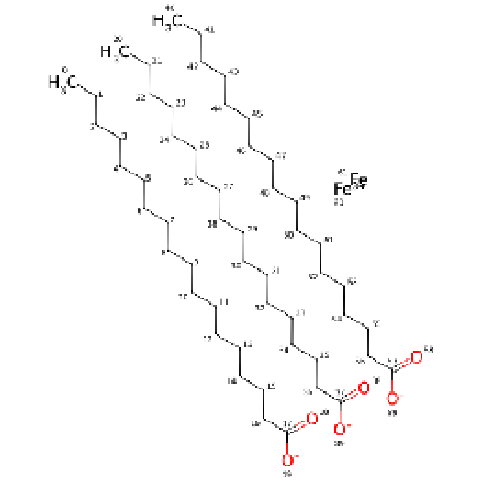 CCCCCCCCCCCCCCCCCC(=O)[O-].CCCCCCCCCCCCCCCCCC(=O)[O-].CCCCCCCCCCCCCCCCCC(=O)[O-].[Fe+3].[Fe]